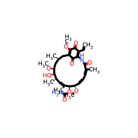 C=CC1=C2NC(=O)C(C)=CC=C[C@H](OC)[C@@H](OC(N)=O)C(C)=C[C@H](C)[C@@H](O)[C@@H](OC)C[C@H](C)CC(=C(OC)C1=O)C2=O